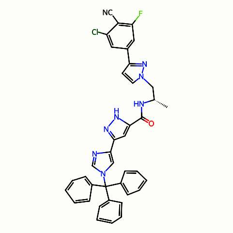 C[C@@H](Cn1ccc(-c2cc(F)c(C#N)c(Cl)c2)n1)NC(=O)c1cc(-c2cn(C(c3ccccc3)(c3ccccc3)c3ccccc3)cn2)n[nH]1